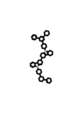 C1=CC2C3CC(C4CCc5c(c6c(n5C5CCC(C7=CC(C8CCCCC8)=CC(c8ccccc8)C7)CC5)CCCC6)C4)CC=C3N(C3CCC(C4CCCC(C5=CCCCC5)C4)CC3)C2C=C1